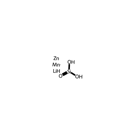 O=[Si](O)O.[LiH].[Mn].[Zn]